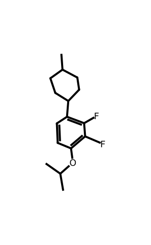 CC1CCC(c2ccc(OC(C)C)c(F)c2F)CC1